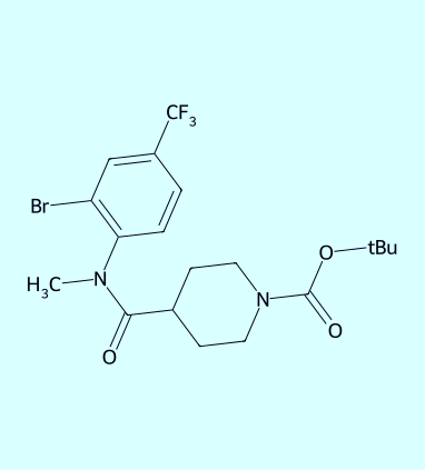 CN(C(=O)C1CCN(C(=O)OC(C)(C)C)CC1)c1ccc(C(F)(F)F)cc1Br